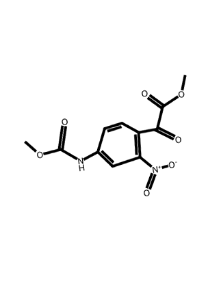 COC(=O)Nc1ccc(C(=O)C(=O)OC)c([N+](=O)[O-])c1